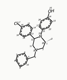 C[C@@H]1CN(Cc2ccccc2)CC(c2ccc(Cl)cc2)N1c1ccc(O)cc1